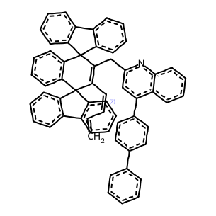 C=C/C=C\C1=C(Cc2cc(-c3ccc(-c4ccccc4)cc3)c3ccccc3n2)C2(c3ccccc3-c3ccccc32)c2ccccc2C12c1ccccc1-c1ccccc12